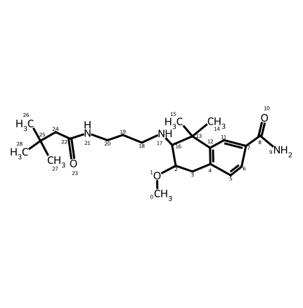 COC1Cc2ccc(C(N)=O)cc2C(C)(C)C1NCCCNC(=O)CC(C)(C)C